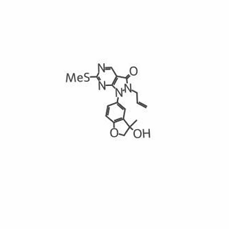 C=CCn1c(=O)c2cnc(SC)nc2n1-c1ccc2c(c1)C(C)(O)CO2